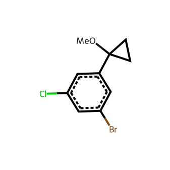 COC1(c2cc(Cl)cc(Br)c2)CC1